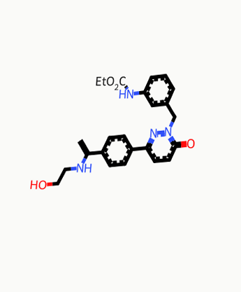 C=C(NCCO)c1ccc(-c2ccc(=O)n(Cc3cccc(NC(=O)OCC)c3)n2)cc1